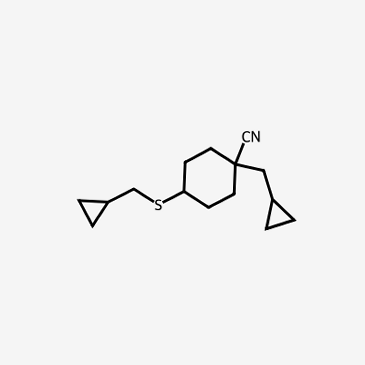 N#CC1(CC2CC2)CCC(SCC2CC2)CC1